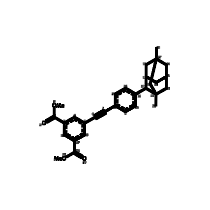 COC(=O)c1cc(C#Cc2ccc(C3C4CC5CC(C)(C4)CC3(C)C5)cc2)cc(C(=O)OC)c1